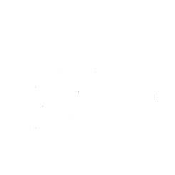 CCC=CC1OC(=O)C2=C1CCC=C2